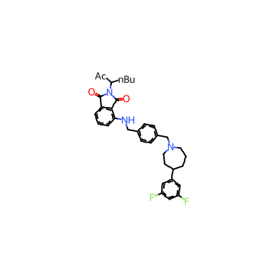 CCCCC(C(C)=O)N1C(=O)c2cccc(NCc3ccc(CN4CCCC(c5cc(F)cc(F)c5)CC4)cc3)c2C1=O